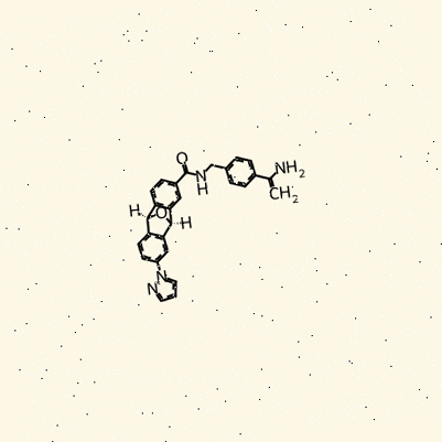 C=C(N)c1ccc(CNC(=O)c2ccc3c(c2)[C@@H]2O[C@H]3c3ccc(-n4cccn4)cc32)cc1